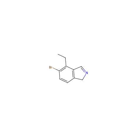 CCc1c(Br)ccc2c1C=NC2